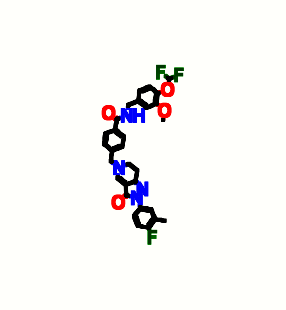 COc1cc(CNC(=O)c2ccc(CN3C=C4C(=O)N(c5ccc(F)c(C)c5)N=C4CC3)cc2)ccc1OC(F)F